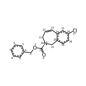 O=C(OCc1ccccc1)N1CC=Cc2cc(Cl)ccc2C1